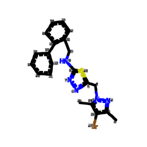 Cc1nn(Cc2nnc(NCc3ccccc3-c3ccccc3)s2)c(C)c1Br